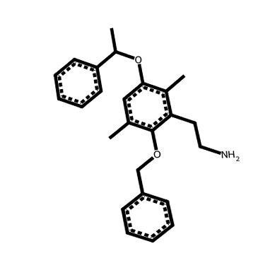 Cc1cc(OC(C)c2ccccc2)c(C)c(CCN)c1OCc1ccccc1